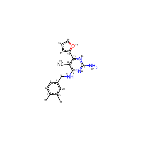 Cc1ccc(CNc2nc(N)nc(-c3ccco3)c2C#N)cc1C